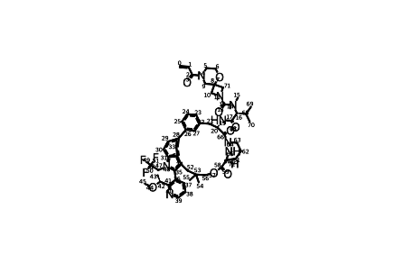 C=CC(=O)N1CCOC2(C1)CN(C(=O)N(C)[C@H](C(=O)N[C@H]1Cc3cccc(c3)-c3ccc4c(c3)c(c(-c3cccnc3[C@H](C)OC)n4CC(F)(F)F)CC(C)(C)COC(=O)[C@@H]3CCCN(N3)C1=O)C(C)C)C2